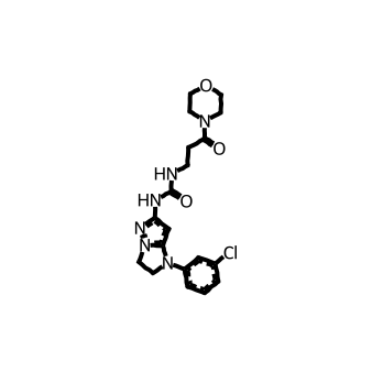 O=C(NCCC(=O)N1CCOCC1)Nc1cc2n(n1)CCN2c1cccc(Cl)c1